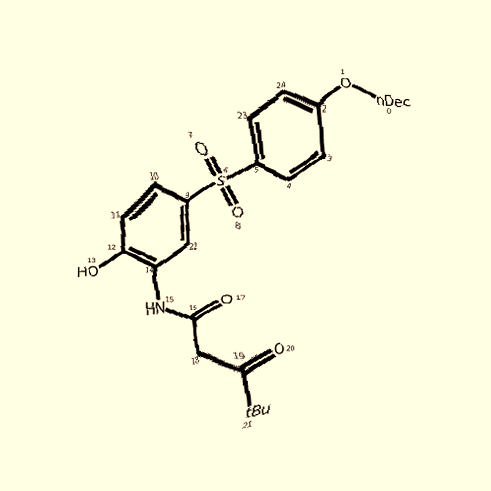 CCCCCCCCCCOc1ccc(S(=O)(=O)c2ccc(O)c(NC(=O)CC(=O)C(C)(C)C)c2)cc1